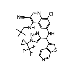 CC(C)(C)CNc1c(C#N)cnc2c(Cl)cc(N[C@H](c3cn(C4(C(F)(F)F)CC4)nn3)c3csc4cnccc34)cc12